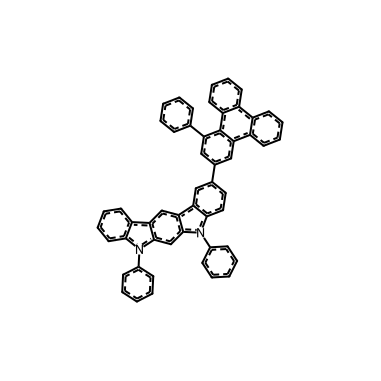 c1ccc(-c2cc(-c3ccc4c(c3)c3cc5c6ccccc6n(-c6ccccc6)c5cc3n4-c3ccccc3)cc3c4ccccc4c4ccccc4c23)cc1